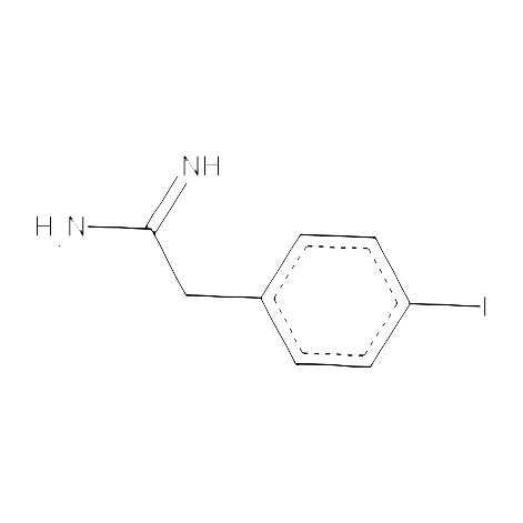 N=C(N)Cc1ccc(I)cc1